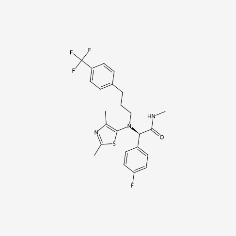 CNC(=O)[C@@H](c1ccc(F)cc1)N(CCCc1ccc(C(F)(F)F)cc1)c1sc(C)nc1C